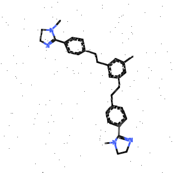 Cc1cc(CCc2ccc(C3=NCCN3C)cc2)cc(CCc2ccc(C3=NCCN3C)cc2)c1